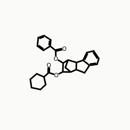 O=C(OC1C2CC(C3Cc4ccccc4C32)C1OC(=O)C1CCCCC1)c1ccccc1